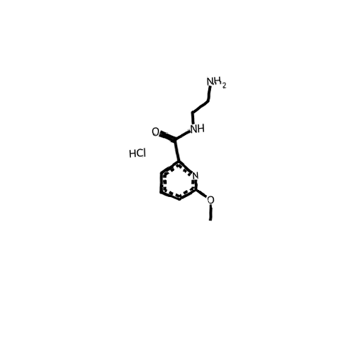 COc1cccc(C(=O)NCCN)n1.Cl